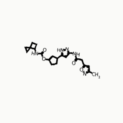 Cc1cc(CC(=O)Nc2cc(C3CCC(OC(=O)NC4CCC45CC5)C3)[nH]n2)on1